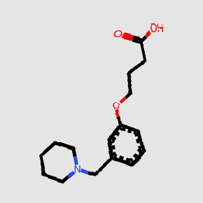 O=C(O)CCCOc1cccc(CN2CCCCC2)c1